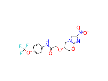 O=C(COC1COc2nc([N+](=O)[O-])cn2C1)Nc1ccc(OC(F)(F)F)cc1